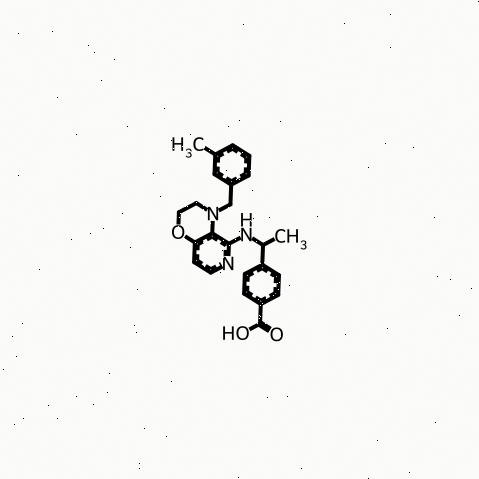 Cc1cccc(CN2CCOc3ccnc(NC(C)c4ccc(C(=O)O)cc4)c32)c1